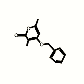 Cc1cc(OCc2ccccc2)c(C)c(=O)o1